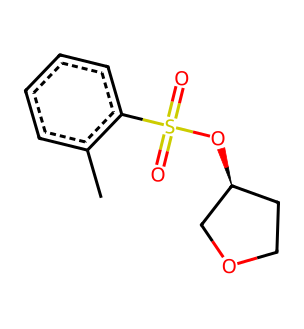 Cc1ccccc1S(=O)(=O)O[C@H]1CCOC1